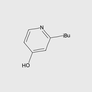 CCC(C)c1cc(O)ccn1